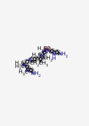 C=C(c1ccc(N2CCc3cc(Cc4cc(C)cc5c(=C)n(-c6ccc(P(C)C(=O)Nc7ccc8c(c7)[nH]c7cc(N)ccc78)cc6)c(=C)c45)c#cc3C2=C)cc1)N(C)c1ccc2c3ccc(N)cc3n(C)c2c1